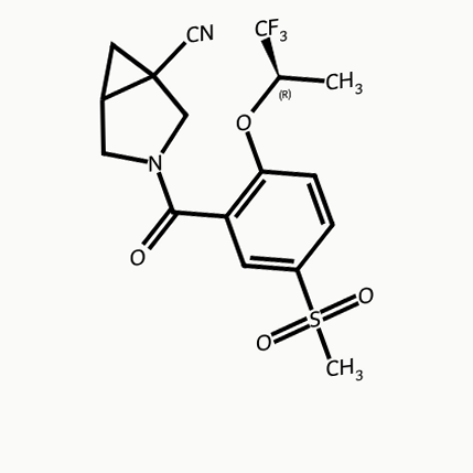 C[C@@H](Oc1ccc(S(C)(=O)=O)cc1C(=O)N1CC2CC2(C#N)C1)C(F)(F)F